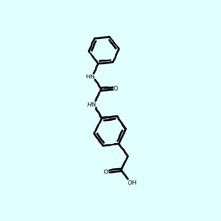 O=C(O)Cc1ccc(NC(=O)Nc2ccccc2)cc1